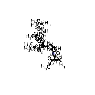 CCOC(=O)c1cc(C)[nH]c1/C=C1\C(=O)Nc2cnc(-c3cn(C(=O)OC(C)(C)C)nc3CN(CCNC(=O)OC(C)(C)C)C(=O)OC(C)(C)C)nc21